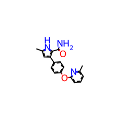 Cc1cccc(Oc2ccc(-c3cc(C)[nH]c3C(N)=O)cc2)n1